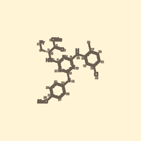 COC(=O)[C@@H](CC(C)C)Nc1nc(Nc2cc(Cl)ccc2C)nc(Sc2ccc(OC)cc2)n1